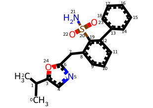 CC(C)c1cnc(Cc2cccc(-c3ccccc3)c2S(N)(=O)=O)o1